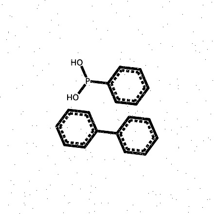 OP(O)c1ccccc1.c1ccc(-c2ccccc2)cc1